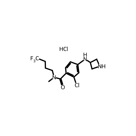 CN(CCCC(F)(F)F)C(=O)c1ccc(NC2CNC2)cc1Cl.Cl